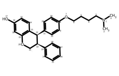 CN(C)CCCCOc1ccc([C@@H]2c3ccc(O)cc3OC[C@@H]2c2ccccc2)cc1